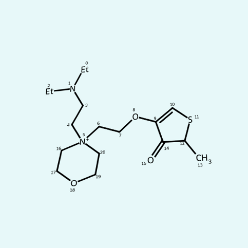 CCN(CC)CC[N+]1(CCOC2=CSC(C)C2=O)CCOCC1